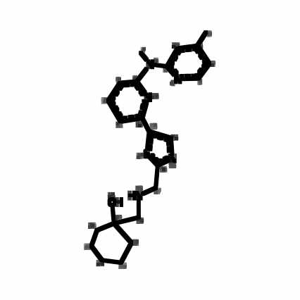 Cc1ccnc(N(C)c2cccc(-c3cnc(CNCC4(O)CCCCC4)s3)n2)c1